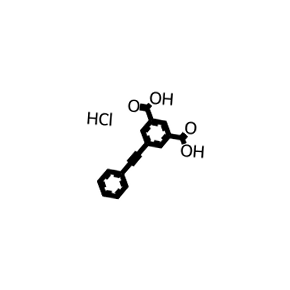 Cl.O=C(O)c1cc(C#Cc2ccccc2)cc(C(=O)O)c1